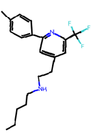 CCCCCNCCc1cc(-c2ccc(C)cc2)nc(C(F)(F)F)c1